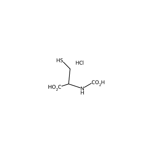 Cl.O=C(O)NC(CS)C(=O)O